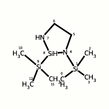 C[Si](C)(C)N1CCN[SiH]1[Si](C)(C)C